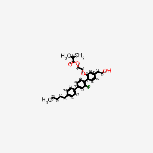 C=C(C)C(=O)OCCOc1cc(CCO)ccc1-c1ccc(-c2ccc(CCCCC)cc2)cc1F